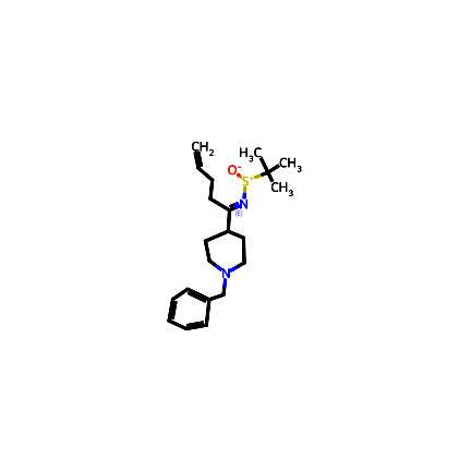 C=CCC/C(=N\[S+]([O-])C(C)(C)C)C1CCN(Cc2ccccc2)CC1